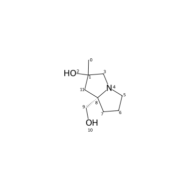 CC1(O)CN2CCC[C@@]2(CO)C1